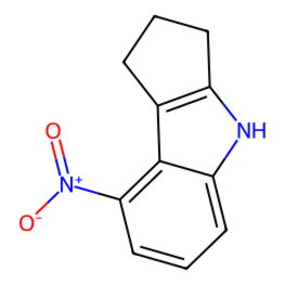 O=[N+]([O-])c1cccc2[nH]c3c(c12)CCC3